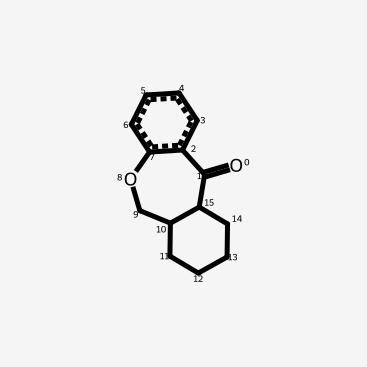 O=C1c2ccccc2OCC2CCCCC12